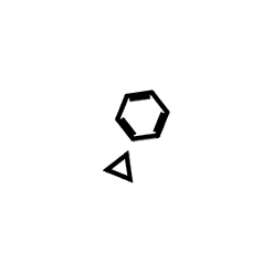 C1CC1.c1ccccc1